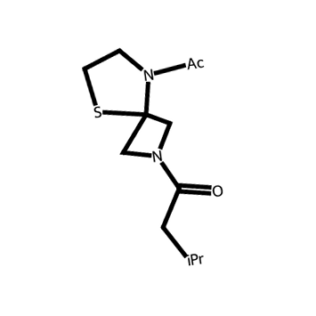 CC(=O)N1CCSC12CN(C(=O)CC(C)C)C2